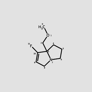 COCC12CCCN1CC=C2F